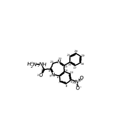 NNC(=O)C1=Nc2ccc([N+](=O)[O-])cc2C(c2ccccc2)=NC1